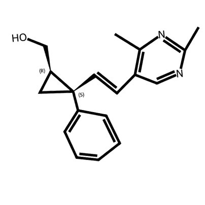 Cc1ncc(C=C[C@@]2(c3ccccc3)C[C@H]2CO)c(C)n1